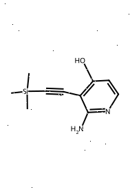 C[Si](C)(C)C#Cc1c(O)ccnc1N